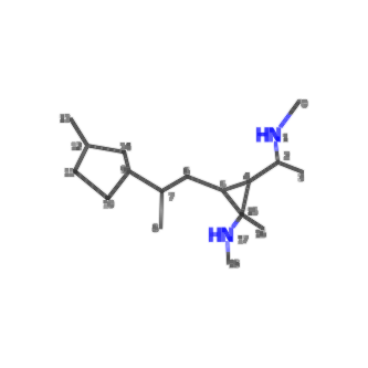 CNC(C)C1C(CC(C)C2CCC(C)C2)C1(C)NC